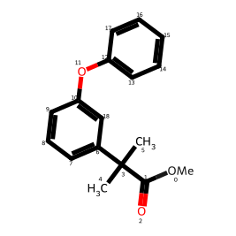 COC(=O)C(C)(C)c1cccc(Oc2ccccc2)c1